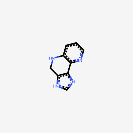 c1cnc2c(c1)NCc1[nH]cnc1-2